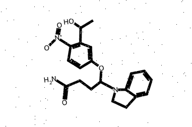 CC(O)c1cc(OC(CCC(N)=O)N2CCc3ccccc32)ccc1[N+](=O)[O-]